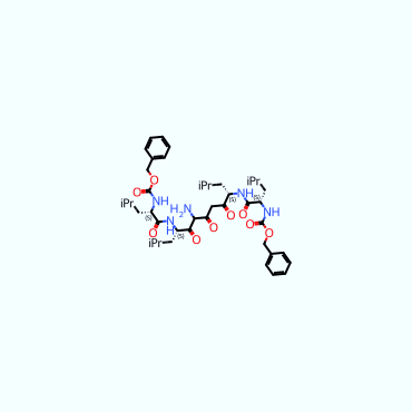 CC(C)C[C@H](NC(=O)[C@H](CC(C)C)NC(=O)OCc1ccccc1)C(=O)CC(=O)C(N)C(=O)[C@H](CC(C)C)NC(=O)[C@H](CC(C)C)NC(=O)OCc1ccccc1